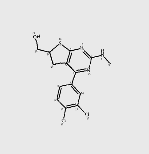 CNc1nc2c(c(-c3ccc(Cl)c(Cl)c3)n1)CC(CO)S2